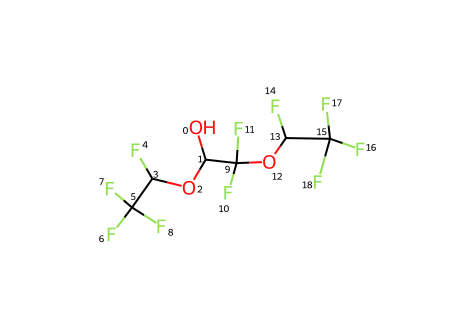 OC(OC(F)C(F)(F)F)C(F)(F)OC(F)C(F)(F)F